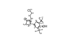 CC1SC(c2cc(C(C)(C)C)c(O)c(C(C)(C)C)c2)N(CCCCl)C1=O